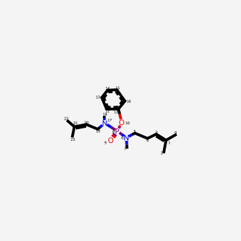 CC(C)=CCCN(C)P(=O)(Oc1ccccc1)N(C)CC=C(C)C